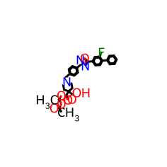 CC(=O)OC(C)OC(=O)C1(C(=O)O)CCN(Cc2ccc(-c3noc(-c4ccc(-c5ccccc5)c(F)c4)n3)cc2)CC1